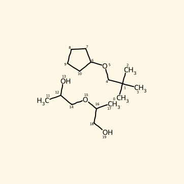 CC(C)(C)COC1CCCC1.CC(O)COC(C)CO